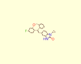 O=c1[nH]c2cc(/C=C3\c4ccccc4COc4cc(F)ccc43)ccc2n1C1CC1